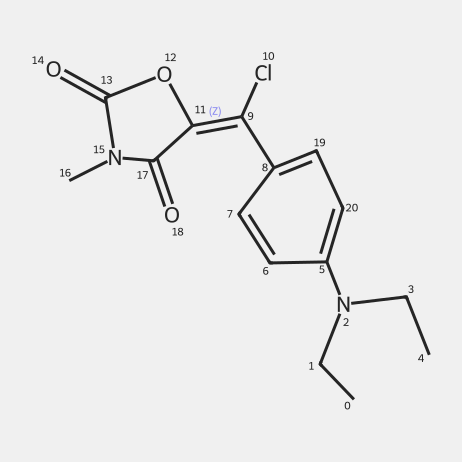 CCN(CC)c1ccc(/C(Cl)=C2/OC(=O)N(C)C2=O)cc1